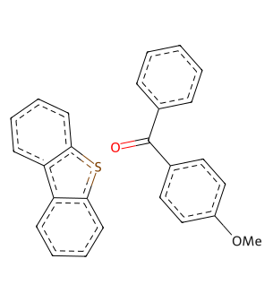 COc1ccc(C(=O)c2ccccc2)cc1.c1ccc2c(c1)sc1ccccc12